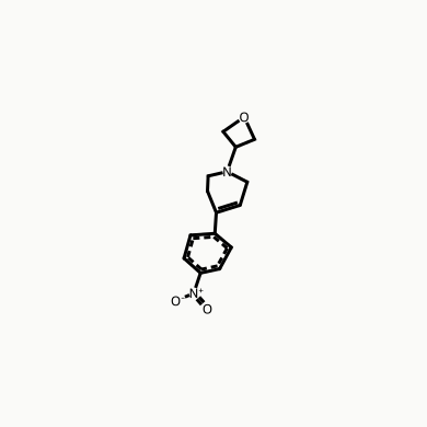 O=[N+]([O-])c1ccc(C2=CCN(C3COC3)CC2)cc1